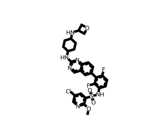 COc1ncc(Cl)cc1S(=O)(=O)Nc1ccc(F)c(-c2ccc3nc(NC4CCC(NC5COC5)CC4)ncc3c2)c1F